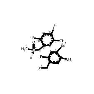 Cc1cc(CBr)c(F)cc1F.Cc1cc(CS(C)(=O)=O)c(F)cc1F